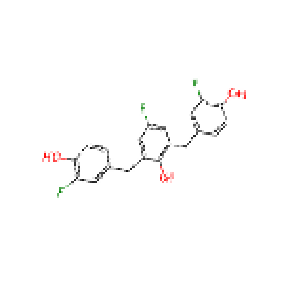 Oc1ccc(Cc2cc(F)cc(Cc3ccc(O)c(F)c3)c2O)cc1F